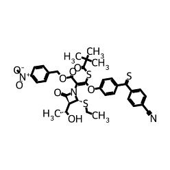 CCS[C@@H]1[C@@H]([C@@H](C)O)C(=O)N1C(C(=O)OCc1ccc([N+](=O)[O-])cc1)=C(Oc1ccc(C(=S)c2ccc(C#N)cc2)cc1)SC(=O)C(C)(C)C